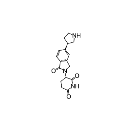 O=C1CCC(N2Cc3cc([C@H]4CCNC4)ccc3C2=O)C(=O)N1